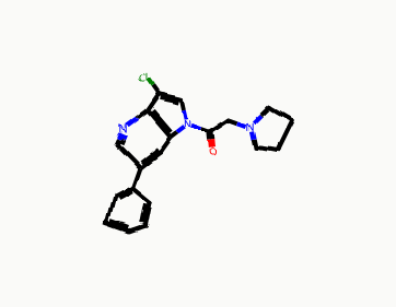 O=C(CN1CCCC1)n1cc(Cl)c2ncc(-c3ccccc3)cc21